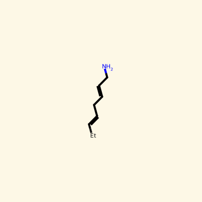 CCC=CCC=CCN